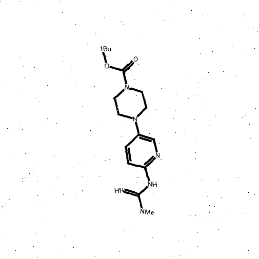 CNC(=N)Nc1ccc(N2CCN(C(=O)OC(C)(C)C)CC2)cn1